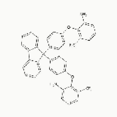 Nc1cccc(C(F)(F)F)c1Oc1ccc(C2(c3ccc(Oc4c(N)cccc4C(F)(F)F)cc3)c3ccccc3-c3ccccc32)cc1